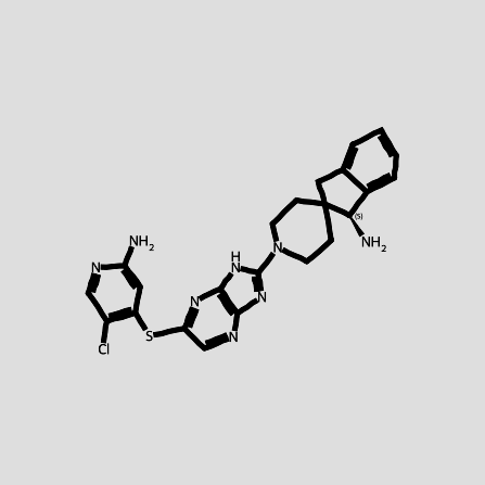 Nc1cc(Sc2cnc3nc(N4CCC5(CC4)Cc4ccccc4[C@H]5N)[nH]c3n2)c(Cl)cn1